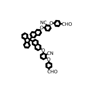 N#Cc1c(Oc2ccc(C=O)cc2)cccc1Oc1ccc2cc(C3(c4ccc5cc(Oc6cccc(Oc7ccc(C=O)cc7)c6C#N)ccc5c4)c4ccccc4-c4ccccc43)ccc2c1